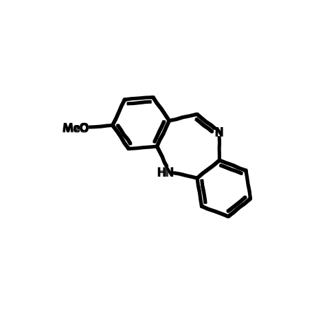 COc1ccc2c(c1)Nc1ccccc1N=C2